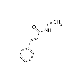 C=CNC(=O)C=Cc1ccccc1